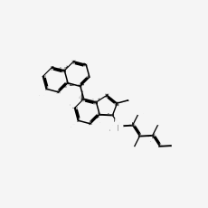 C/C=C(C)/C(C)=[C](\C)[Zr][CH]1C(C)=Cc2c(-c3cccc4ccccc34)cccc21